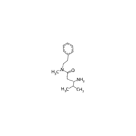 CC(C)C(N)CC(=O)N(C)CCc1ccccc1